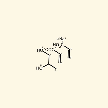 C=CC(=O)O.C=CC(=O)[O-].CC(O)CO.[Na+]